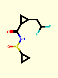 O=C(N[S+]([O-])C1CC1)C1C[C@H]1CC(F)F